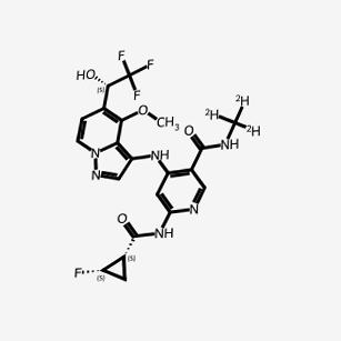 [2H]C([2H])([2H])NC(=O)c1cnc(NC(=O)[C@@H]2C[C@@H]2F)cc1Nc1cnn2ccc([C@H](O)C(F)(F)F)c(OC)c12